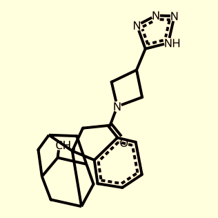 CC1C2CC3CC1CC(C2)C3(CC(=O)N1CC(c2nnn[nH]2)C1)c1ccccc1